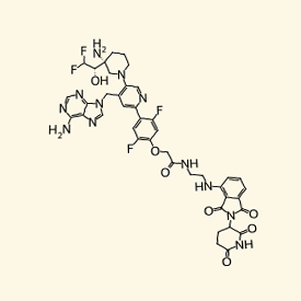 Nc1ncnc2c1ncn2Cc1cc(-c2cc(F)c(OCC(=O)NCCNc3cccc4c3C(=O)N(C3CCC(=O)NC3=O)C4=O)cc2F)ncc1N1CCC[C@](N)([C@H](O)C(F)F)C1